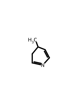 CC1C=CN=CC1